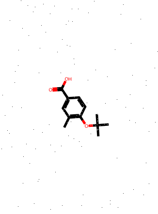 Cc1cc(C(=O)O)ccc1OC(C)(C)C